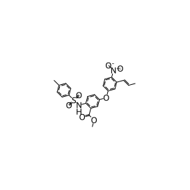 CC=Cc1cc(Oc2ccc(NS(=O)(=O)c3ccc(C)cc3)c(C(=O)OC)c2)ccc1[N+](=O)[O-]